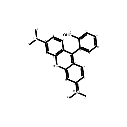 CN(C)c1ccc2c(-c3ccccc3C=O)c3ccc(=[N+](C)C)cc-3oc2c1